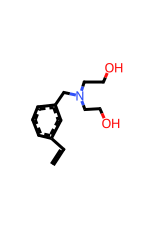 C=Cc1cccc(CN(CCO)CCO)c1